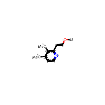 CCOC=Cc1nccc(OC)c1OC